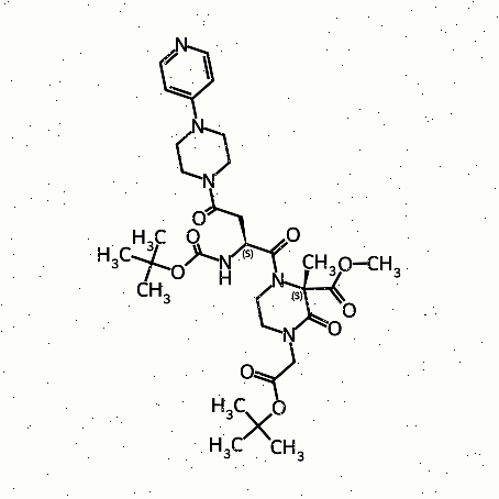 COC(=O)[C@]1(C)C(=O)N(CC(=O)OC(C)(C)C)CCN1C(=O)[C@H](CC(=O)N1CCN(c2ccncc2)CC1)NC(=O)OC(C)(C)C